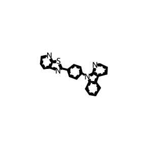 c1cnc2sc(-c3ccc(-n4c5ccccc5c5cccnc54)cc3)nc2c1